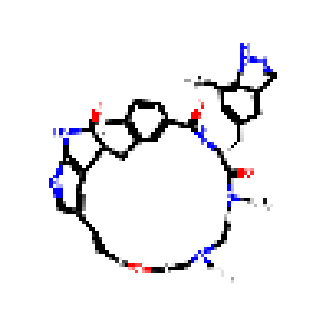 Cc1cc(C[C@H]2NC(=O)c3ccc4c(c3)C[C@]3(C4)C(=O)Nc4ncc(cc43)/C=C/COCCN(C)CCN(C)C2=O)cc2cn[nH]c12